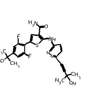 CC(C)(O)C#Cc1ccc(Nc2sc(-c3c(F)cc(C(C)(C)O)cc3F)cc2C(N)=O)nn1